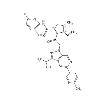 C=C[C@@H]1[C@@H](C)C[C@@H](C(=O)Nc2nc(Br)ccc2C)N1C(=O)Cn1nc(C(C)O)c2cc(-c3cnc(C)nc3)ncc21